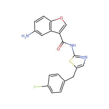 Nc1ccc2occ(C(=O)Nc3ncc(Cc4ccc(F)cc4)s3)c2c1